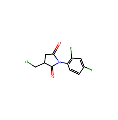 O=C1CC(CCl)C(=O)N1c1ccc(F)cc1F